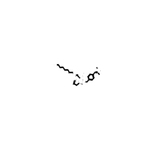 Cc1ncsc1-c1ccc(CNC(=O)[C@@H]2C[C@@H](O)CN2C(=O)[C@@H](NC(=O)CCCCCCBr)C(C)(C)C)cc1